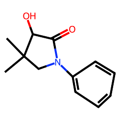 CC1(C)CN(c2ccccc2)C(=O)C1O